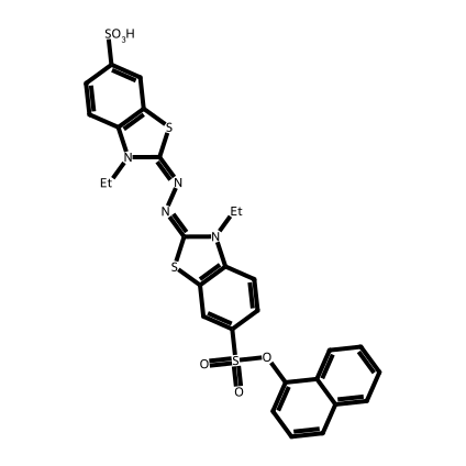 CCn1c(=NN=c2sc3cc(S(=O)(=O)Oc4cccc5ccccc45)ccc3n2CC)sc2cc(S(=O)(=O)O)ccc21